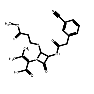 COC(=O)CCSC1C(NC(=O)Cc2cccc(C#N)c2)C(=O)N1C(C(=O)O)=C(C)C